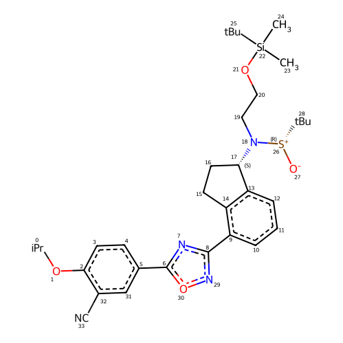 CC(C)Oc1ccc(-c2nc(-c3cccc4c3CC[C@@H]4N(CCO[Si](C)(C)C(C)(C)C)[S@@+]([O-])C(C)(C)C)no2)cc1C#N